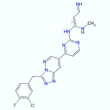 CN/C(=C\C=N)Nc1nccc(-c2cnn3c(Cc4ccc(F)c(Cl)c4)nnc3c2)n1